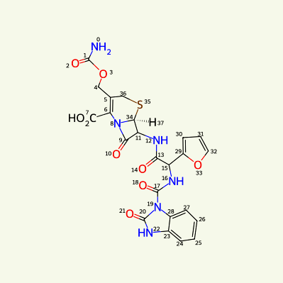 NC(=O)OCC1=C(C(=O)O)N2C(=O)C(NC(=O)C(NC(=O)n3c(=O)[nH]c4ccccc43)c3ccco3)[C@@H]2SC1